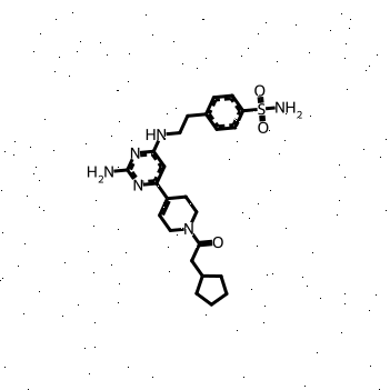 Nc1nc(NCCc2ccc(S(N)(=O)=O)cc2)cc(C2=CCN(C(=O)CC3CCCC3)CC2)n1